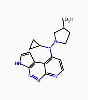 O=C(O)C1CCN(N(c2ccnc3nnc4[nH]ccc4c23)C2CC2)C1